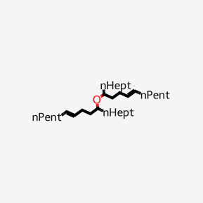 CCCCC/C=C/CCC(CCCCCCC)OC(CC/C=C/CCCCC)CCCCCCC